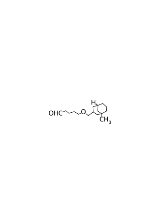 CC12CCC[C@@H](CC(COCCCCC=O)C1)C2